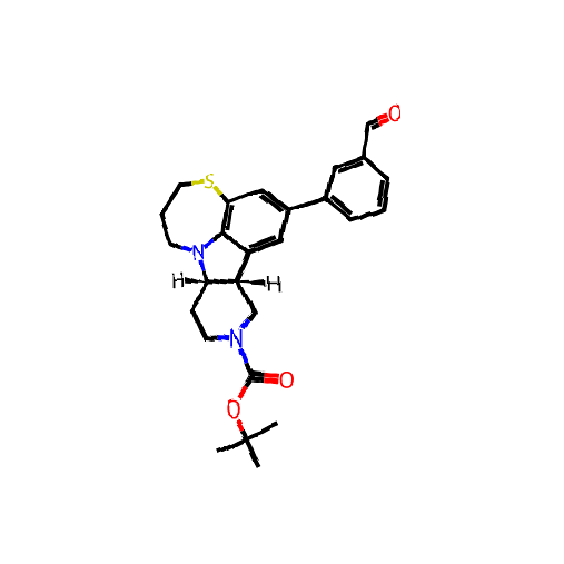 CC(C)(C)OC(=O)N1CC[C@H]2[C@@H](C1)c1cc(-c3cccc(C=O)c3)cc3c1N2CCCS3